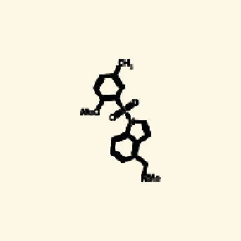 CNCc1cccc2c1ccn2S(=O)(=O)c1cc(C)ccc1OC